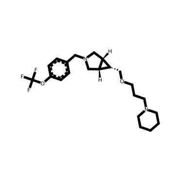 FC(F)(F)Oc1ccc(CN2C[C@@H]3[C@H](COCCCN4CCCCC4)[C@@H]3C2)cc1